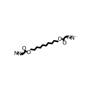 [N-]=[N+]=CC(=O)OCCCCCCCCCCOC(=O)C=[N+]=[N-]